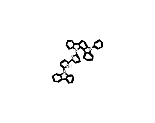 C1=CC(c2cccc(N3c4c(ccc5c4c4ccccc4n5-c4ccccc4)C4C=CC=CC43)n2)NC(n2c3ccccc3c3ccccc32)=C1